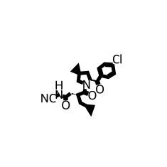 N#CNC(=O)C[C@@H](CC1=CC1)C(=O)N1CC2(CC2)C[C@H]1C(=O)c1ccc(Cl)cc1